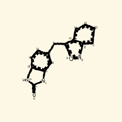 O=C1[N]c2cc(Cc3onc4ccccc34)ccc2N1